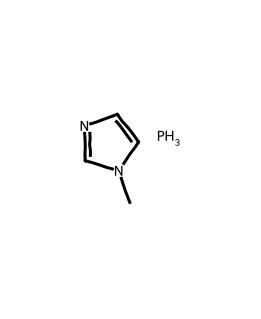 Cn1ccnc1.P